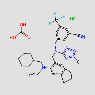 CCN(CC1CCCCC1)c1cc2c(cc1CN(Cc1cc(C#N)cc(C(F)(F)F)c1)c1nnn(C)n1)CCC2.Cl.O=C(O)O